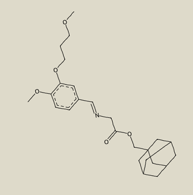 COCCCOc1cc(/C=N/CC(=O)OCC23CC4CC(CC(C4)C2)C3)ccc1OC